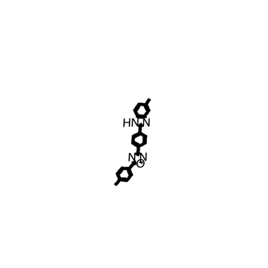 Cc1ccc(-c2nc(-c3ccc(-c4nc5cc(C)ccc5[nH]4)cc3)no2)cc1